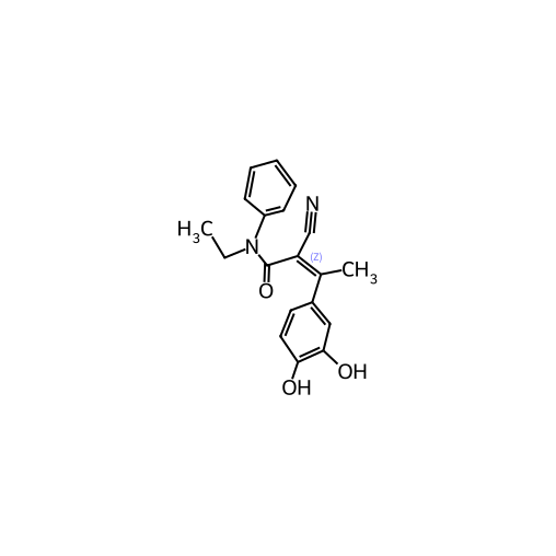 CCN(C(=O)/C(C#N)=C(/C)c1ccc(O)c(O)c1)c1ccccc1